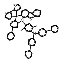 Cc1cc(N2c3cc(-c4ccccc4)ccc3C3(c4ccsc4-c4sccc43)c3ccc4c(sc5ccccc54)c32)c(C)cc1N(c1ccc(-c2ccccc2)cc1)c1ccc(-c2ccccc2)cc1